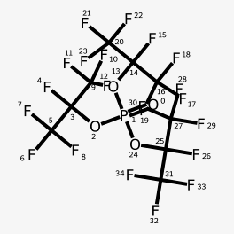 O=P(OC(F)(C(F)(F)F)C(F)(F)F)(OC(F)(C(F)(F)F)C(F)(F)F)OC(F)(C(F)(F)F)C(F)(F)F